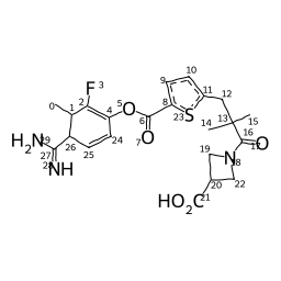 CC1C(F)=C(OC(=O)c2ccc(CC(C)(C)C(=O)N3CC(C(=O)O)C3)s2)C=CC1C(=N)N